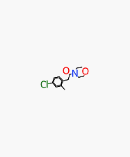 Cc1cc(Cl)ccc1CC(=O)N1CCOCC1